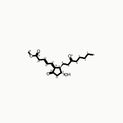 CCCCCC(=O)CC[C@@H]1C(=CC=CCC(=O)OC)C(=O)C[C@H]1O